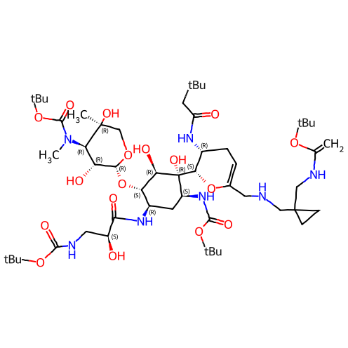 C=C(NCC1(CNCC2=CC[C@@H](NC(=O)CC(C)(C)C)[C@@H]([C@@]3(O)[C@@H](NC(=O)OC(C)(C)C)C[C@@H](NC(=O)[C@@H](O)CNC(=O)OC(C)(C)C)[C@H](O[C@H]4OC[C@](C)(O)[C@H](N(C)C(=O)OC(C)(C)C)[C@H]4O)[C@H]3O)O2)CC1)OC(C)(C)C